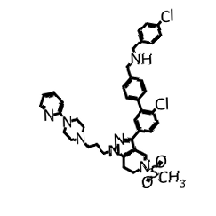 CS(=O)(=O)N1CCc2c(c(-c3ccc(Cl)c(-c4ccc(CNCc5ccc(Cl)cc5)cc4)c3)nn2CCCN2CCN(c3ccccn3)CC2)C1